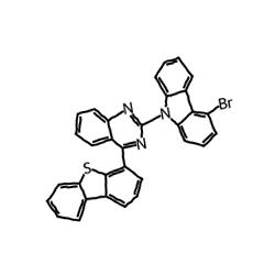 Brc1cccc2c1c1ccccc1n2-c1nc(-c2cccc3c2sc2ccccc23)c2ccccc2n1